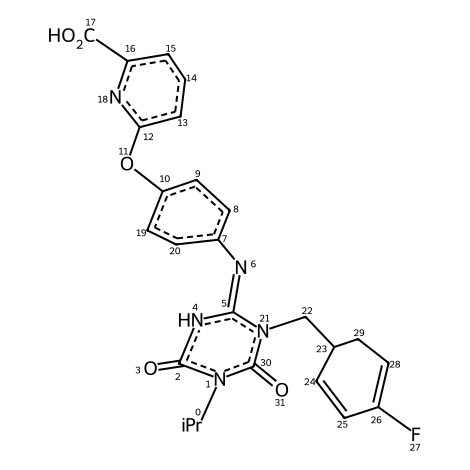 CC(C)n1c(=O)[nH]/c(=N\c2ccc(Oc3cccc(C(=O)O)n3)cc2)n(CC2C=CC(F)=CC2)c1=O